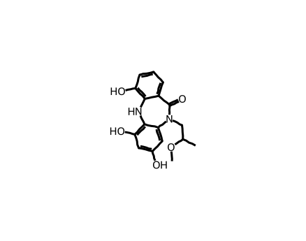 COC(C)CN1C(=O)c2cccc(O)c2Nc2c(O)cc(O)cc21